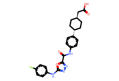 O=C(O)C[C@H]1CC[C@H](c2ccc(NC(=O)c3nnc(Nc4ccc(F)cc4)o3)cc2)CC1